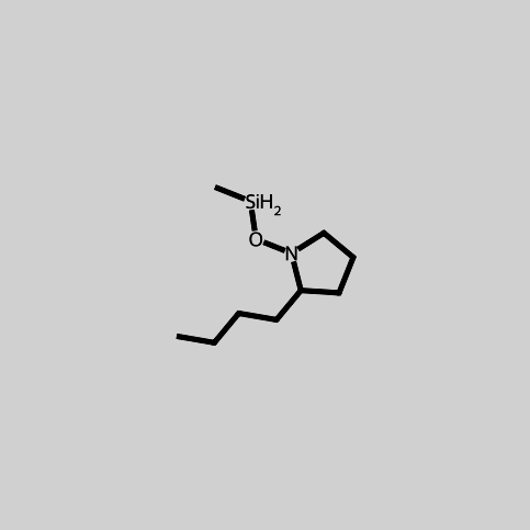 CCCCC1CCCN1O[SiH2]C